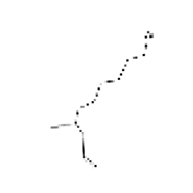 [CH2]C(=O)CCCCCC[C@@H](C)CC=C